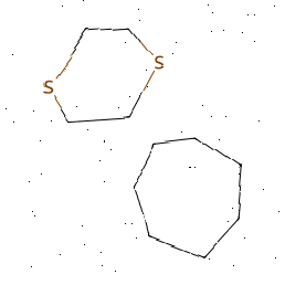 C1CCCCCC1.C1CSCCS1